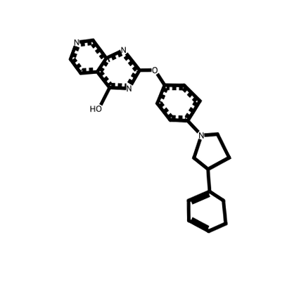 Oc1nc(Oc2ccc(N3CCC(C4=CC=CCC4)C3)cc2)nc2cnccc12